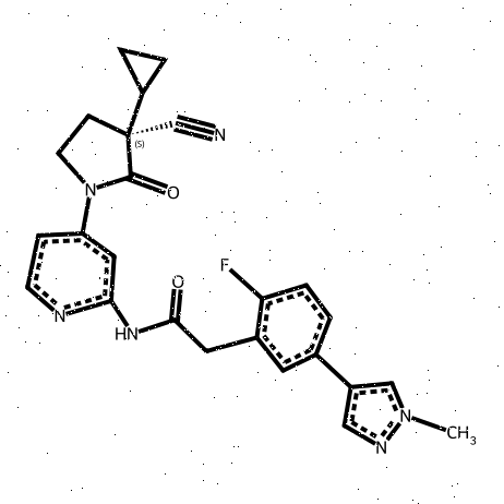 Cn1cc(-c2ccc(F)c(CC(=O)Nc3cc(N4CC[C@@](C#N)(C5CC5)C4=O)ccn3)c2)cn1